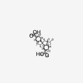 CCC1(C)CC(CC)(c2ccc(C(=O)O)cc2)c2cc(C(=O)O)ccc21